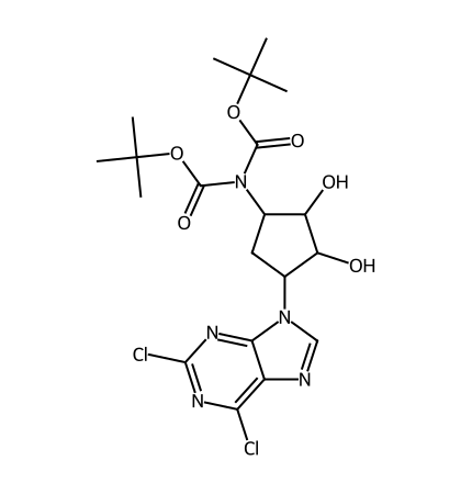 CC(C)(C)OC(=O)N(C(=O)OC(C)(C)C)C1CC(n2cnc3c(Cl)nc(Cl)nc32)C(O)C1O